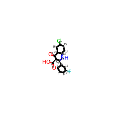 O=C(O)c1c(-c2cccc(F)c2)[nH]c2ccc(Cl)cc2c1=O